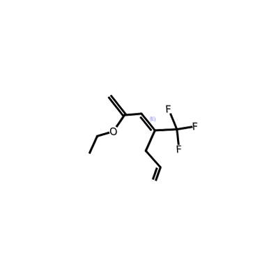 C=CC/C(=C\C(=C)OCC)C(F)(F)F